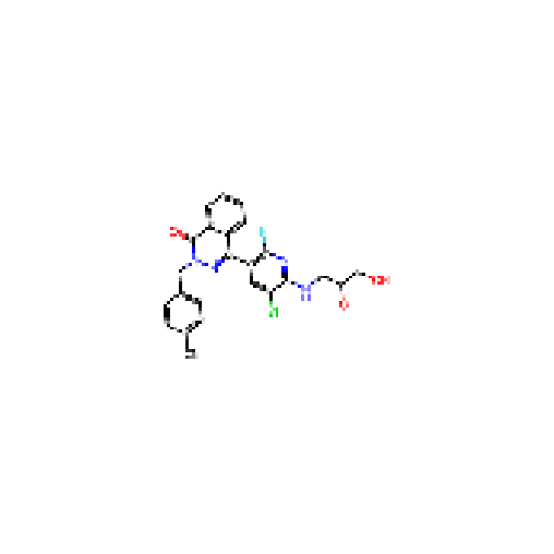 N#Cc1ccc(Cn2nc(-c3cc(Cl)c(NCC(O)CO)nc3F)c3ccccc3c2=O)cc1